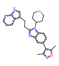 Cc1noc(C)c1-c1ccc2c(c1)nc(CCc1c[nH]c3ncccc13)n2C1CCOCC1